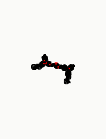 Cc1ccc(N(c2ccc(/C=C/c3ccc(/C=C/c4ccc(N(c5ccc(C)cc5)c5ccc(OCC6CO6)cc5)cc4)cc3)cc2)c2ccc(OCC3CO3)cc2)cc1